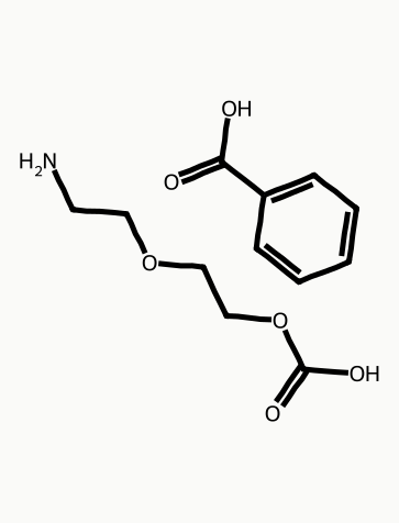 NCCOCCOC(=O)O.O=C(O)c1ccccc1